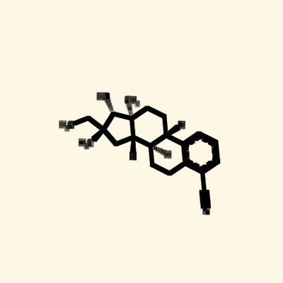 CC[C@@]1(C)C[C@H]2[C@@H]3CCc4c(C#N)cccc4[C@H]3CC[C@]2(C)[C@H]1O